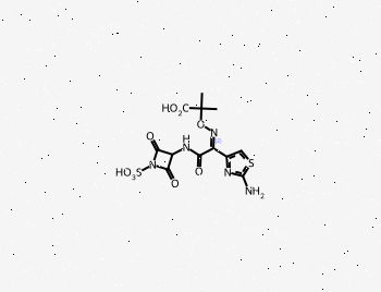 CC(C)(O/N=C(\C(=O)NC1C(=O)N(S(=O)(=O)O)C1=O)c1csc(N)n1)C(=O)O